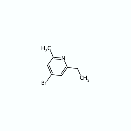 CCc1cc(Br)cc(C)n1